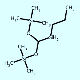 [CH2]CC[SiH2]C(O[Si](C)(C)C)O[Si](C)(C)C